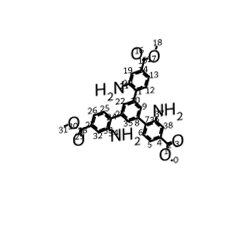 COC(=O)c1ccc(-c2cc(-c3ccc(C(=O)OC)cc3N)cc(-c3ccc(C(=O)OC)cc3N)c2)c(N)c1